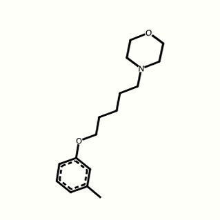 Cc1cccc(OCCCCCN2CCOCC2)c1